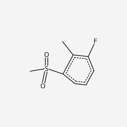 Cc1c(F)cccc1S(C)(=O)=O